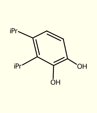 CC(C)c1ccc(O)c(O)c1C(C)C